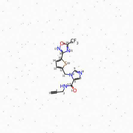 C#CCNC(=O)c1cncn1Cc1ccc(-c2noc(C(F)(F)F)n2)s1